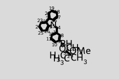 COC(C)(C)C(C)(C)OBc1cccc(Cn2c3ccccc3c3ccccc32)c1